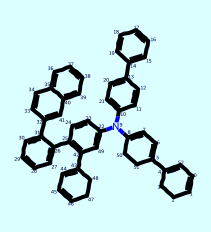 C1=CCCC(C2=CC=C(N(c3ccc(-c4ccccc4)cc3)c3ccc(-c4ccccc4-c4ccc5ccccc5c4)c(C4=CC=CCC4)c3)CC2)=C1